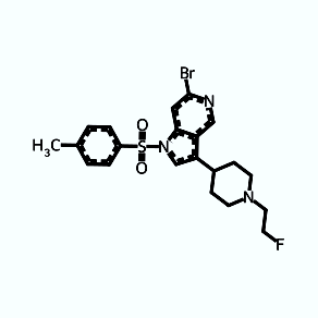 Cc1ccc(S(=O)(=O)n2cc(C3CCN(CCF)CC3)c3cnc(Br)cc32)cc1